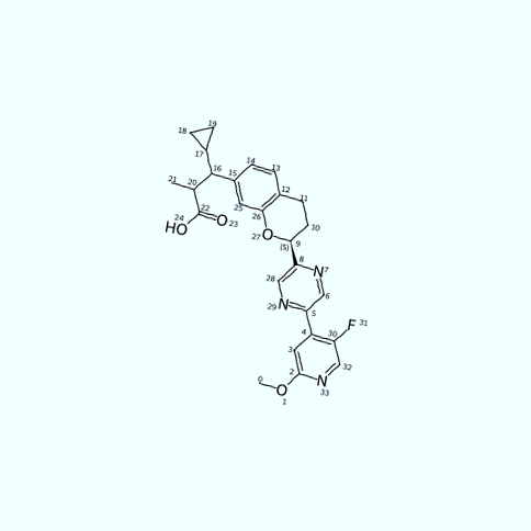 COc1cc(-c2cnc([C@@H]3CCc4ccc(C(C5CC5)C(C)C(=O)O)cc4O3)cn2)c(F)cn1